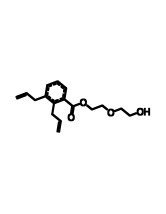 C=CCc1cccc(C(=O)OCCOCCO)c1CC=C